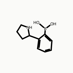 OB(O)c1ccccc1C1CCCN1